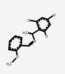 COc1ccccc1/C=N\C(C)c1c(Cl)cc(Cl)cc1Cl